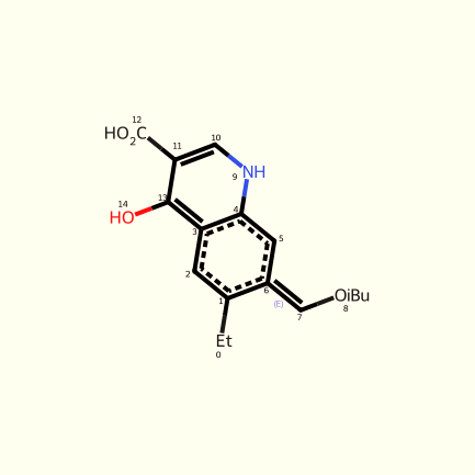 CCc1cc2c(c/c1=C\OCC(C)C)NC=C(C(=O)O)C=2O